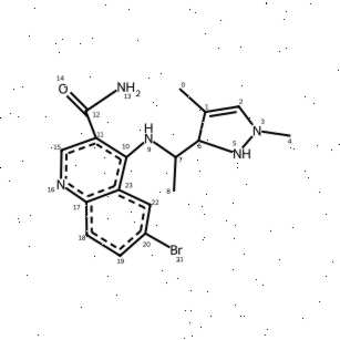 CC1=CN(C)NC1C(C)Nc1c(C(N)=O)cnc2ccc(Br)cc12